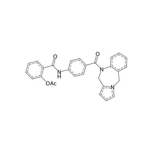 CC(=O)Oc1ccccc1C(=O)Nc1ccc(C(=O)N2Cc3cccn3Cc3ccccc32)cc1